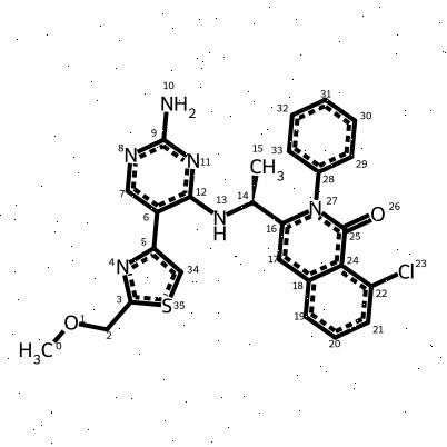 COCc1nc(-c2cnc(N)nc2N[C@@H](C)c2cc3cccc(Cl)c3c(=O)n2-c2ccccc2)cs1